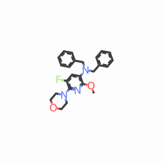 COc1nc(N2CCOCC2)c(F)cc1N(Cc1ccccc1)Cc1ccccc1